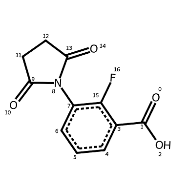 O=C(O)c1cccc(N2C(=O)CCC2=O)c1F